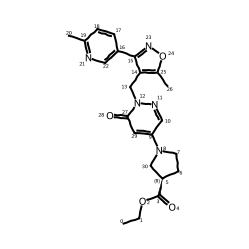 CCOC(=O)[C@@H]1CCN(c2cnn(Cc3c(-c4ccc(C)nc4)noc3C)c(=O)c2)C1